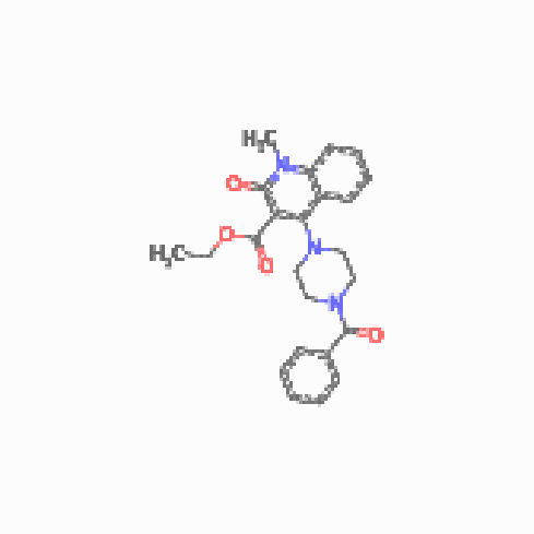 CCOC(=O)c1c(N2CCN(C(=O)c3ccccc3)CC2)c2ccccc2n(C)c1=O